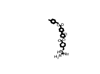 Cc1ccc(COC(=O)c2ccc(-c3ccc(OC(=O)C4CCC(CNC(=N)N)CC4)cc3)cc2)cc1.Cl